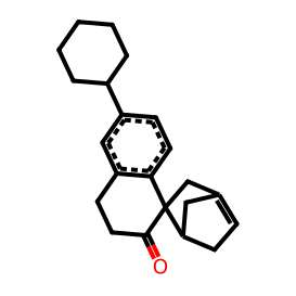 O=C1CCc2cc(C3CCCCC3)ccc2C12CC1=CCC2C1